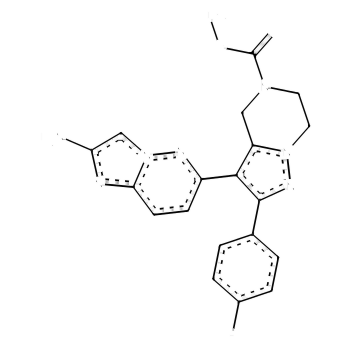 CC(C)(C)OC(=O)N1CCn2nc(-c3ccc(F)cc3)c(-c3ccc4nc(N)cn4n3)c2C1